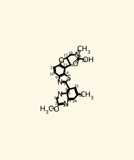 COc1cnc2c(-c3nc4ccc5c(c4s3)CC(CN(C)C(=O)O)O5)cc(C)cc2n1